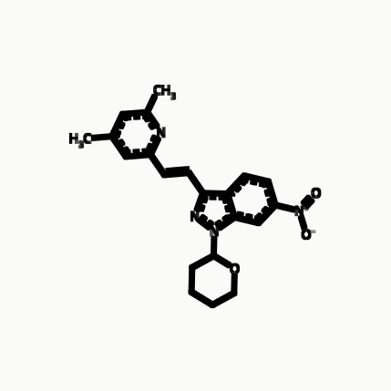 Cc1cc(C)nc(C=Cc2nn(C3CCCCO3)c3cc([N+](=O)[O-])ccc23)c1